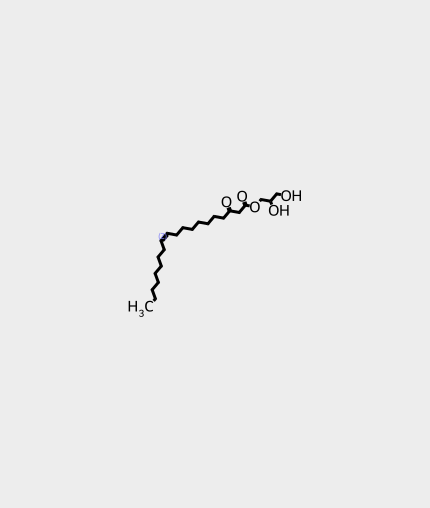 CCCCCCCC/C=C\CCCCCCCC(=O)CC(=O)OCC(O)CO